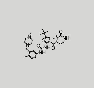 Cc1ccc(NC(=O)Nc2sc(C(C)(C)C)cc2C(=O)N2CCNC(=O)C2(C)C)cc1CN1CCN(C)CC1